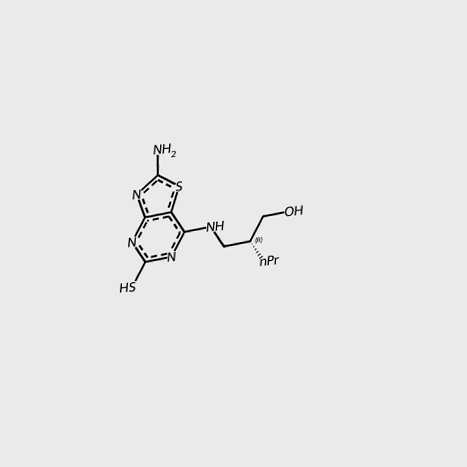 CCC[C@@H](CO)CNc1nc(S)nc2nc(N)sc12